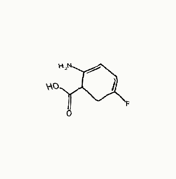 NC1=CC=C(F)CC1C(=O)O